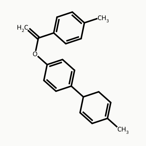 C=C(Oc1ccc(C2C=CC(C)=CC2)cc1)c1ccc(C)cc1